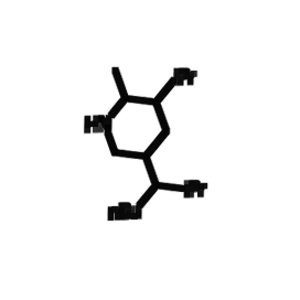 CCCCC(C(C)C)C1CNC(C)C(C(C)C)C1